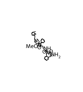 COCC1(N(C(=O)CCNC(=O)CN2Cc3ccccc3C[C@H](N)C2=O)c2ccccc2)CCN(CCc2cccs2)CC1